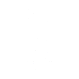 O=C(NC1(CN2CCC2)CC1)C1(Oc2cccc(OC(F)(F)F)c2)CC1